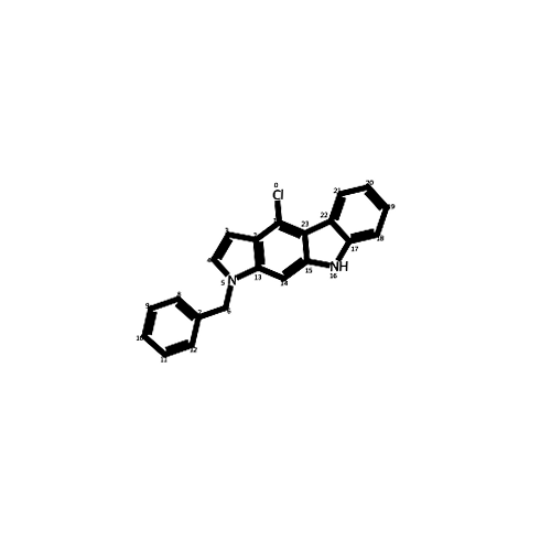 Clc1c2ccn(Cc3ccccc3)c2cc2[nH]c3ccccc3c12